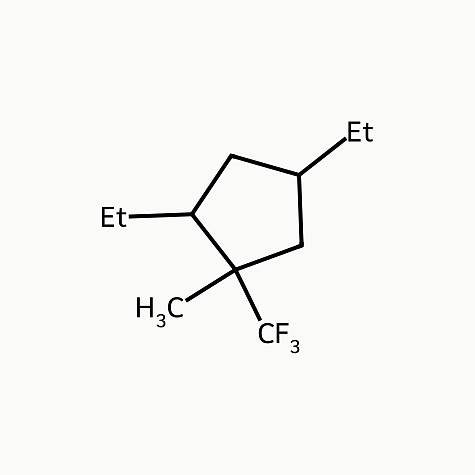 CCC1CC(CC)C(C)(C(F)(F)F)C1